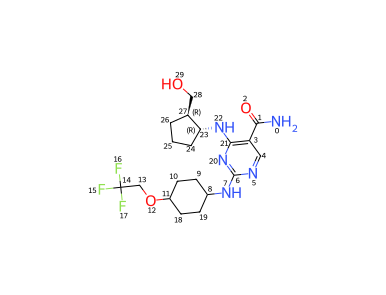 NC(=O)c1cnc(NC2CCC(OCC(F)(F)F)CC2)nc1N[C@@H]1CCC[C@H]1CO